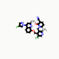 Cc1cc(-n2cc(F)cn2)c2cccc(OCc3c(Cl)cnc(C)c3Cn3cccc(C#N)c3=O)c2n1